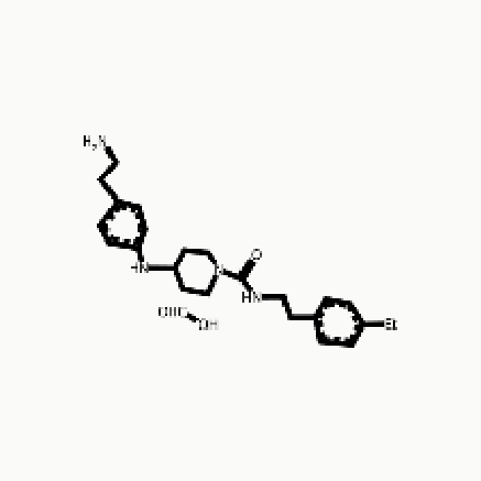 CCc1ccc(CCNC(=O)N2CCC(Nc3ccc(CCN)cc3)CC2)cc1.O=CO